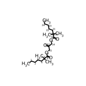 CCCCCC(C)(C)C(=O)OCC(=O)COC(=O)C(C)(C)CCCCC